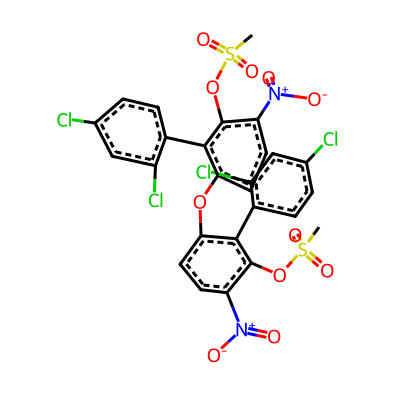 CS(=O)(=O)Oc1c([N+](=O)[O-])ccc(Oc2ccc([N+](=O)[O-])c(OS(C)(=O)=O)c2-c2ccc(Cl)cc2Cl)c1-c1ccc(Cl)cc1Cl